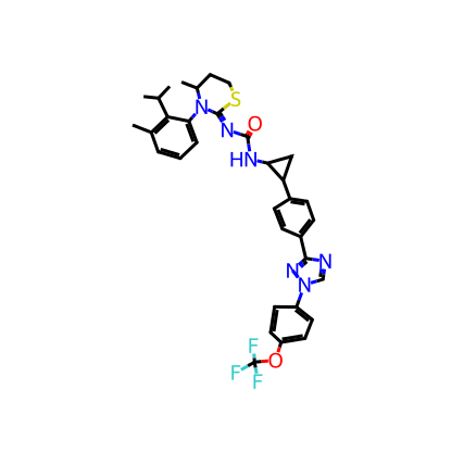 Cc1cccc(N2/C(=N/C(=O)NC3CC3c3ccc(-c4ncn(-c5ccc(OC(F)(F)F)cc5)n4)cc3)SCCC2C)c1C(C)C